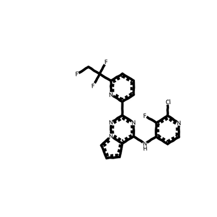 FCC(F)(F)c1cccc(-c2nc(Nc3ccnc(Cl)c3F)c3cccn3n2)n1